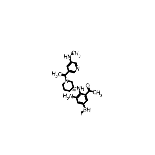 C=C(c1cncc(NC)c1)N1CCC[C@@H](Nc2c(N)cc(BI)cc2C(C)=O)C1